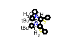 Cc1cc(C(C)(C)C)ccc1N1B2c3cc(C(C)(C)C)cc4c3N(c3cc5c(sc6ccccc65)c(c32)-c2cc3c(cc21)sc1ccccc13)C1(C)CCCCC41C